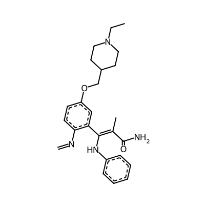 C=Nc1ccc(OCC2CCN(CC)CC2)cc1/C(Nc1ccccc1)=C(\C)C(N)=O